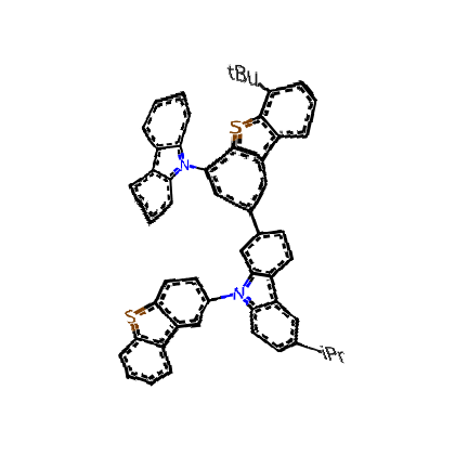 CC(C)c1ccc2c(c1)c1ccc(-c3cc(-n4c5ccccc5c5ccccc54)c4sc5c(C(C)(C)C)cccc5c4c3)cc1n2-c1ccc2sc3ccccc3c2c1